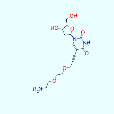 NCCOCCOCC#Cc1cn([C@H]2CC(O)[C@@H](CO)O2)c(=O)[nH]c1=O